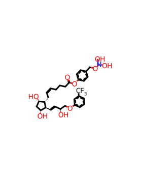 O=C(CCC/C=C\C[C@@H]1[C@@H](/C=C/[C@@H](O)COc2cccc(C(F)(F)F)c2)[C@H](O)C[C@@H]1O)Oc1ccc(CON(O)O)cc1